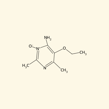 CCOc1c(C)nc(C)[n+]([O-])c1N